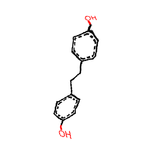 Oc1ccc(CCc2ccc(O)cc2)cc1